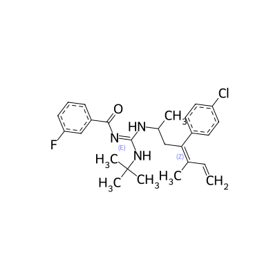 C=C/C(C)=C(/CC(C)N/C(=N\C(=O)c1cccc(F)c1)NC(C)(C)C)c1ccc(Cl)cc1